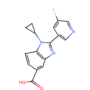 O=C(O)c1ccc2c(c1)nc(-c1cncc(F)c1)n2C1CC1